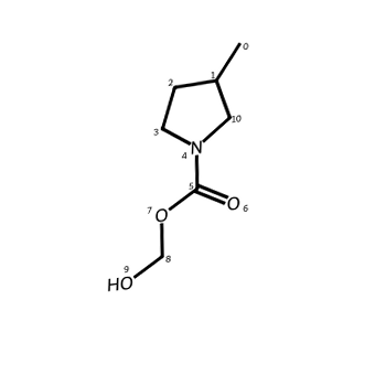 CC1CCN(C(=O)OCO)C1